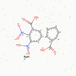 O=C(O)c1cccc([N+](=O)[O-])c1[N+](=O)[O-].O=C(O)c1ccccc1.[NaH]